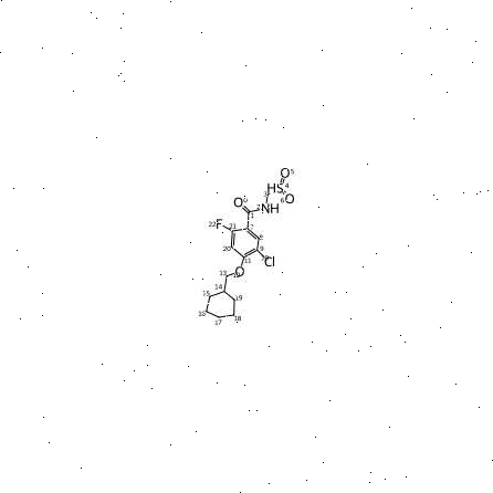 O=C(NC[SH](=O)=O)c1cc(Cl)c(OCC2CCCCC2)cc1F